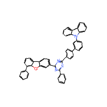 c1ccc(-c2nc(-c3ccc(-c4cccc(-n5c6ccccc6c6ccccc65)c4)cc3)nc(-c3ccc4c(c3)oc3c(-c5ccccc5)cccc34)n2)cc1